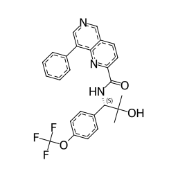 CC(C)(O)[C@@H](NC(=O)c1ccc2cncc(-c3ccccc3)c2n1)c1ccc(OC(F)(F)F)cc1